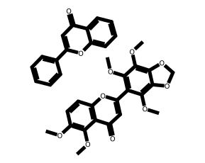 COc1ccc2oc(-c3c(OC)c(OC)c4c(c3OC)OCO4)cc(=O)c2c1OC.O=c1cc(-c2ccccc2)oc2ccccc12